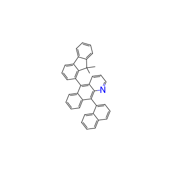 CC1(C)c2ccccc2-c2cccc(-c3c4ccccc4c(-c4cccc5ccccc45)c4ncccc34)c21